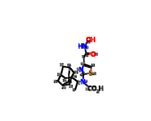 CC(N(C(=O)O)c1nc(CC(=O)NO)cs1)C12CC3CC(CC(C3)C1)C2